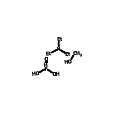 CCN(CC)CC.CO.O=[PH](O)O